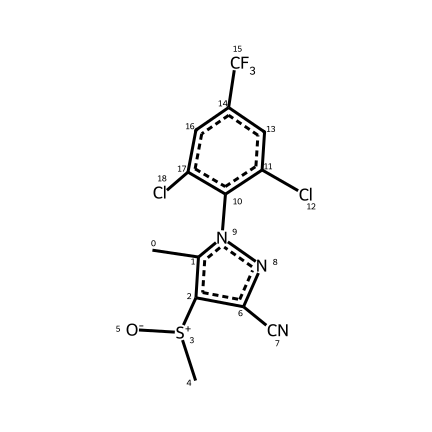 Cc1c([S+](C)[O-])c(C#N)nn1-c1c(Cl)cc(C(F)(F)F)cc1Cl